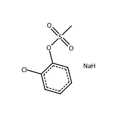 CS(=O)(=O)Oc1ccccc1Cl.[NaH]